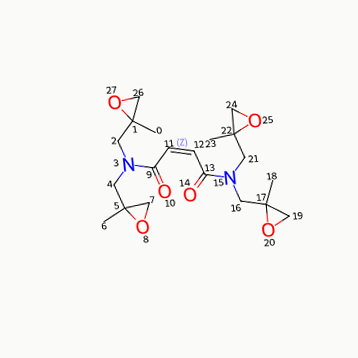 CC1(CN(CC2(C)CO2)C(=O)/C=C\C(=O)N(CC2(C)CO2)CC2(C)CO2)CO1